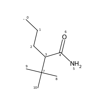 [CH2]CCC(C(N)=O)C(C)(C)C